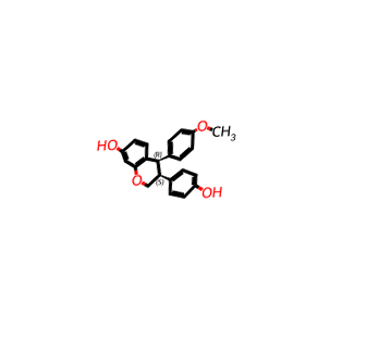 COc1ccc([C@@H]2c3ccc(O)cc3OC[C@@H]2c2ccc(O)cc2)cc1